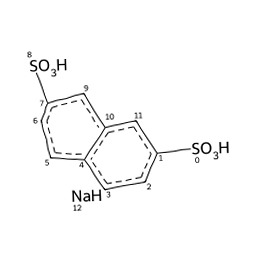 O=S(=O)(O)c1ccc2ccc(S(=O)(=O)O)cc2c1.[NaH]